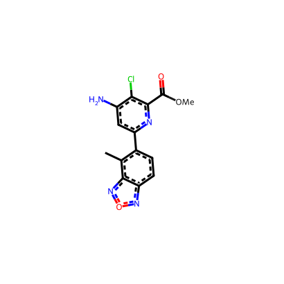 COC(=O)c1nc(-c2ccc3nonc3c2C)cc(N)c1Cl